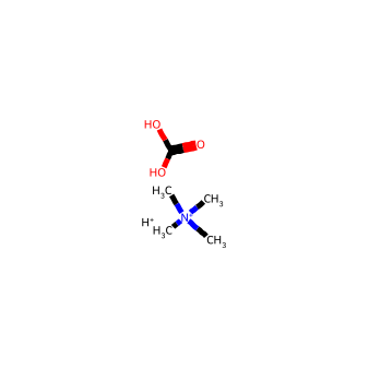 C[N+](C)(C)C.O=C(O)O.[H+]